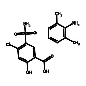 Cc1cccc(C)c1N.NS(=O)(=O)c1cc(C(=O)O)c(O)cc1Cl